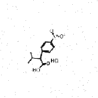 CC(C)C(C(=O)O)c1ccc([N+](=O)[O-])cc1.Cl